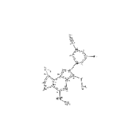 [C-]#[N+]c1cc(F)cc(-c2cc3c4c(ncn4C)c(NC)nc3n2CC)c1